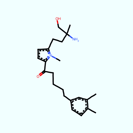 Cc1ccc(CCCCC(=O)c2ccc(CCC(C)(N)CO)n2C)cc1C